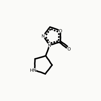 O=c1ocnn1C1CCNC1